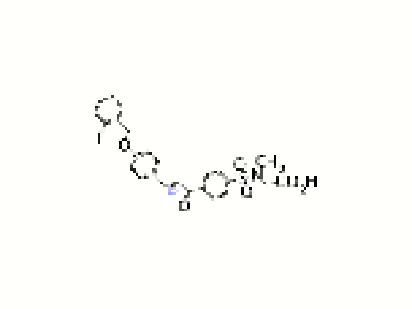 CN(CC(=O)O)S(=O)(=O)c1ccc(C(=O)/C=C/c2ccc(OCc3ccccc3F)cc2)cc1